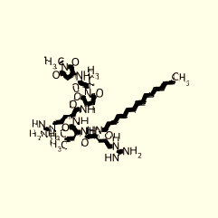 CCCCCCCCCCCCCCCC(=O)N[C@@H](CCCNC(=N)N)C(=O)N[C@@H](CC(C)C)C(=O)N[C@@H](CCCNC(=N)N)C(=O)N[C@H]1CC(=O)N([C@@H](C)C(=O)N[C@H]2CC(=O)N(C)C2=O)C1=O